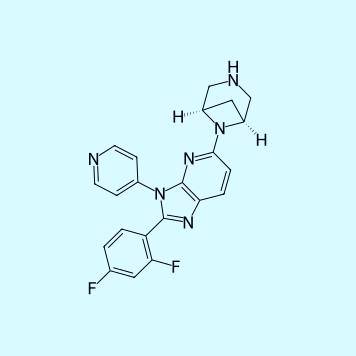 Fc1ccc(-c2nc3ccc(N4[C@@H]5CNC[C@H]4C5)nc3n2-c2ccncc2)c(F)c1